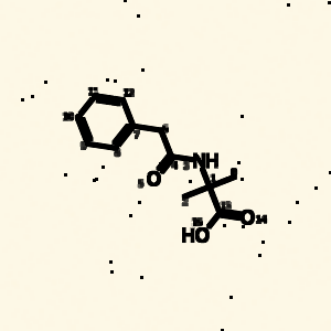 CC(C)(NC(=O)Cc1ccccc1)C(=O)O